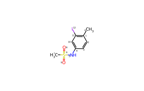 Cc1ccc(NS(C)(=O)=O)cc1I